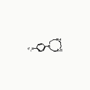 O=[N+]([O-])c1ccc(N2CCNCCNCC2)cc1